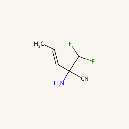 C/C=C/C(N)(C#N)C(F)F